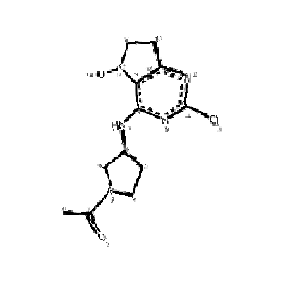 CC(=O)N1CC[C@H](Nc2nc(Cl)nc3c2[S+]([O-])CC3)C1